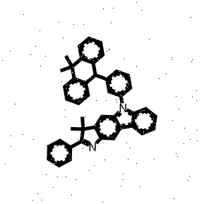 CC1(C)C(c2ccccc2)=Nc2cc3c4ccccc4n(-c4cccc(C5c6ccccc6C(C)(C)c6ccccc65)c4)c3cc21